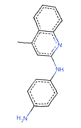 Cc1cc(Nc2ccc(N)cc2)nc2ccccc12